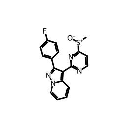 C[S+]([O-])c1ccnc(-c2c(-c3ccc(F)cc3)nn3ccccc23)n1